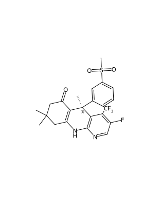 CC1(C)CC(=O)C2=C(C1)Nc1ncc(F)c(C(F)(F)F)c1[C@]2(C)c1cccc(S(C)(=O)=O)c1